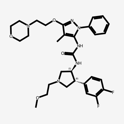 COCCN1C[C@@H](NC(=O)Nc2c(C)c(OCCN3CCOCC3)nn2-c2ccccc2)[C@H](c2ccc(F)c(F)c2)C1